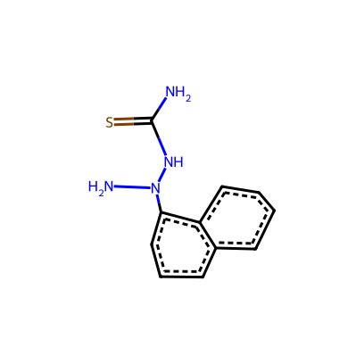 NC(=S)NN(N)c1cccc2ccccc12